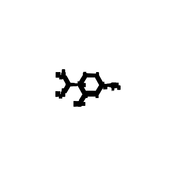 CC(C)[C@@H]1CC[C@H](C)C=C1O